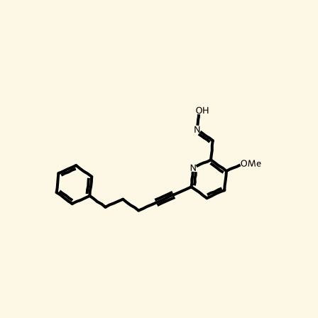 COc1ccc(C#CCCCc2ccccc2)nc1C=NO